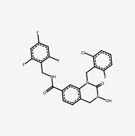 O=C(NCc1c(F)cc(F)cc1F)c1ccc2c(c1)N(Cc1c(F)cccc1Cl)C(=O)N(O)C2